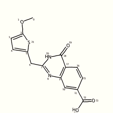 COc1ccc(Cc2nc3cc(C(=O)O)ccc3c(=O)[nH]2)s1